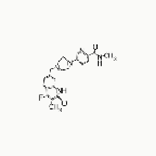 CNC(=O)c1ccc(N2CCN(Cc3ccc4c(F)c(C)c(=O)[nH]c4c3)CC2)cn1